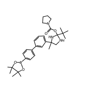 CC1(c2cccc(-c3ccc(B4OC(C)(C)C(C)(C)O4)cc3)c2)CNC(OC(=O)N2CCCC2)(C(C)(C)C)N1